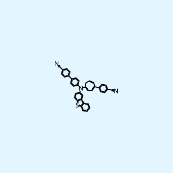 N#Cc1ccc(C2=CC=C(N(c3ccc(-c4ccc(C#N)cc4)cc3)c3ccc4sc5ccccc5c4c3)CC=C2)cc1